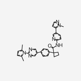 Cc1ccc(C)n1-c1ncc(-c2ccc(C3(C(=O)Nc4ccc(-c5ccnn5C)cn4)CCC3)cc2)cn1